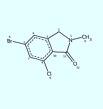 CN1Cc2cc(Br)cc(Cl)c2C1=O